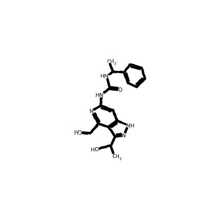 CC(O)c1n[nH]c2cc(NC(=O)NC(C)c3ccccc3)nc(CO)c12